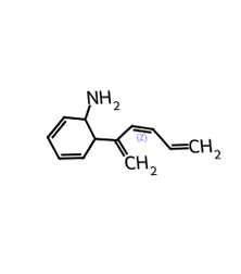 C=C/C=C\C(=C)C1C=CC=CC1N